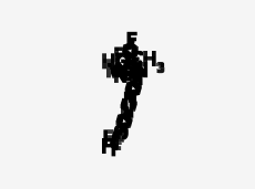 C[C@@H](n1ncn(-c2ccc(N3CCN(c4ccc(OCC(F)(F)C(F)F)cc4)CC3)cc2)c1=O)[C@](O)(Cn1cncn1)c1ccc(F)cc1F